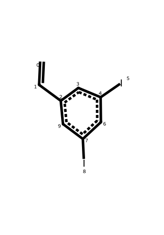 C=Cc1cc(I)cc(I)c1